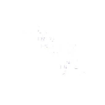 CN(CC(=O)O)C(=O)Nc1nc2cc(-c3cc(Cc4n[nH]c(=O)c5ccccc45)ccc3F)ccc2[nH]1